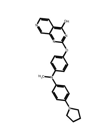 CN(c1ccc(Oc2nc(O)c3ccncc3n2)cc1)c1ccc(N2CCCC2)cc1